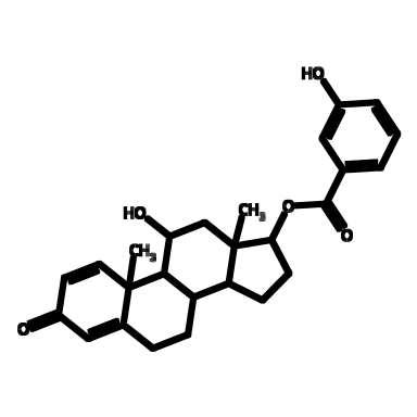 CC12C=CC(=O)C=C1CCC1C2C(O)CC2(C)C(OC(=O)c3cccc(O)c3)CCC12